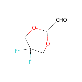 O=CC1OCC(F)(F)CO1